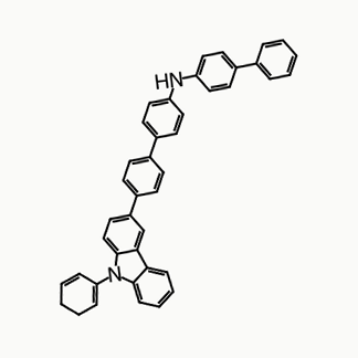 C1=CC(n2c3ccccc3c3cc(-c4ccc(-c5ccc(Nc6ccc(-c7ccccc7)cc6)cc5)cc4)ccc32)=CCC1